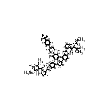 COC(=O)N[C@H](C(=O)N1CCC[C@H]1c1nc2cc([C@H]3CC[C@H](c4ccc5[nH]c([C@@H]6CCCN6C(=O)[C@@H](NC(=O)OC)C(C)C)nc5c4)N3c3cc(F)c(N4CCN(c5ccc(C(F)(F)F)cc5)CC4)c(F)c3)ccc2[nH]1)C(C)C